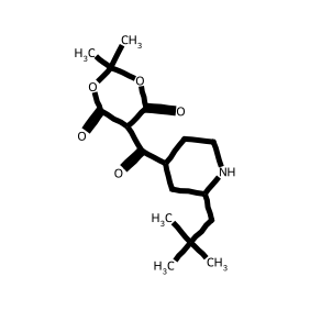 CC(C)(C)CC1CC(C(=O)C2C(=O)OC(C)(C)OC2=O)CCN1